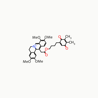 COc1cc2c(cc1OC)-c1c(CC(=O)OCCCCC3=CC(=O)C(C)=C(C)C3=O)c3ccc(OC)c(OC)c3c[n+]1CC2